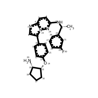 C[C@@H](Nc1ccc2ncc(-c3ccc(O[C@@H]4CCC[C@@H]4N)cc3)n2n1)c1cccc(F)c1